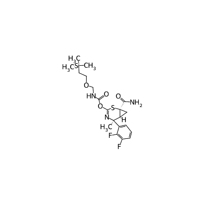 C[C@]1(c2cccc(F)c2F)N=C(OC(=O)NCOCC[Si](C)(C)C)S[C@@]2(C(N)=O)C[C@H]21